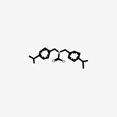 CC(C)c1ccc(CN(Cc2ccc(C(C)C)cc2)C([O])=O)cc1